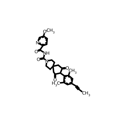 CC#Cc1cc(C)c(C2C(=O)CC3(CCN(C(=O)NC(=O)c4ccc(OC)cn4)CC3)CC2=O)c(C)c1